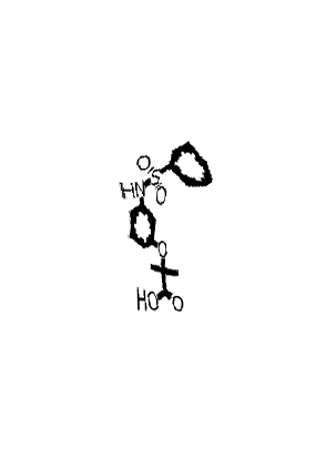 CC(C)(Oc1cccc(NS(=O)(=O)c2ccccc2)c1)C(=O)O